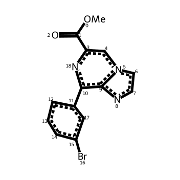 COC(=O)c1cn2ccnc2c(-c2cccc(Br)c2)n1